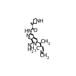 C=N/C=C\C(C)=C(/C)c1cc2cc(NC(=O)[C@H]3C[C@]34CCNC4)ncc2c(N)n1